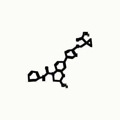 CC(=O)C1(COc2ccc(-c3ccc4c(c3)OC(C)CN4C(=O)Nc3ccccc3)cn2)CC1